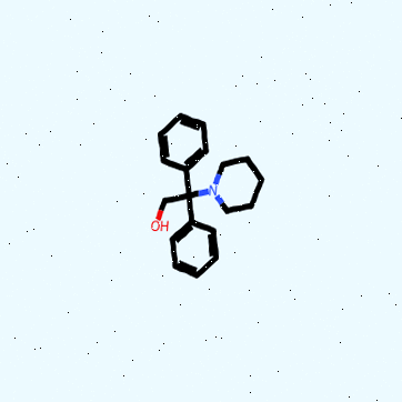 OCC(c1ccccc1)(c1ccccc1)N1CCCCC1